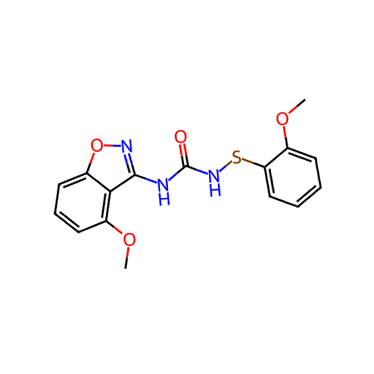 COc1ccccc1SNC(=O)Nc1noc2cccc(OC)c12